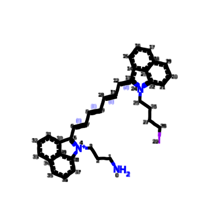 NCCC[N+]1=C(/C=C/C=C/C=C/C=c2/c3cccc4cccc(c43)n2CCCCI)c2cccc3cccc1c23